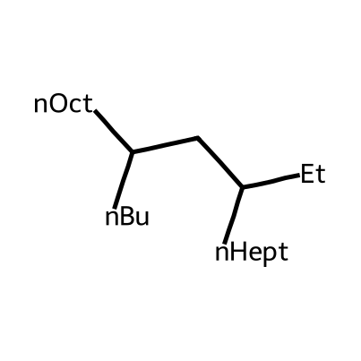 CCCCCCCCC(CCCC)CC(CC)CCCCCCC